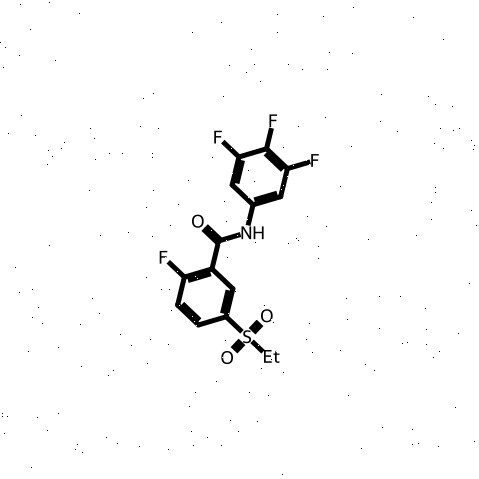 CCS(=O)(=O)c1ccc(F)c(C(=O)Nc2cc(F)c(F)c(F)c2)c1